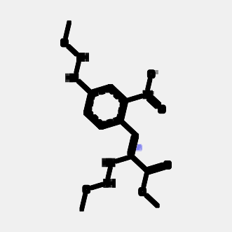 COBN/C(=C\c1ccc(NBOC)cc1[N+](=O)[O-])C(=O)OC